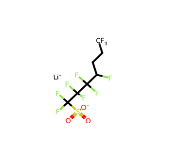 O=S(=O)([O-])C(F)(F)C(F)(F)C(F)(F)C(F)CCC(F)(F)F.[Li+]